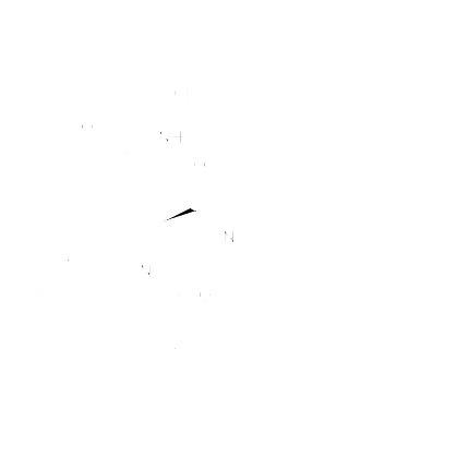 COC(=O)N1CC2(CC2)C[C@H](C(=O)NO)[C@H]1C(=O)N1CC=C(c2ccccc2)C1